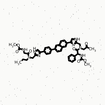 CCCN(Cc1nc(-c2ccc(-c3ccc4cc(-c5c[nH]c(CN(CC(C)=O)C(=O)C(NC(=O)OC)c6ccccc6)n5)ccc4c3)cc2)c[nH]1)C(=O)CNC(=O)OC